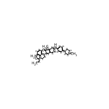 C=CC(=O)N1CCN(c2cc3cnc(Nc4ccc(N5CCN(C)CC5)cc4)nc3n(C)c2=O)c2cccc(N)c21